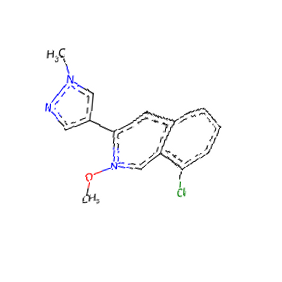 CO[n+]1cc2c(Cl)cccc2cc1-c1cnn(C)c1